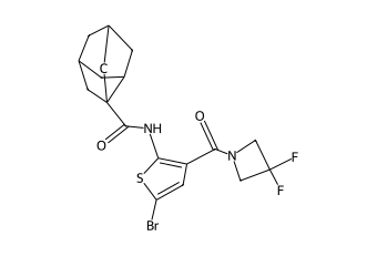 O=C(c1cc(Br)sc1NC(=O)C12CC3CC(CC1C3)C2)N1CC(F)(F)C1